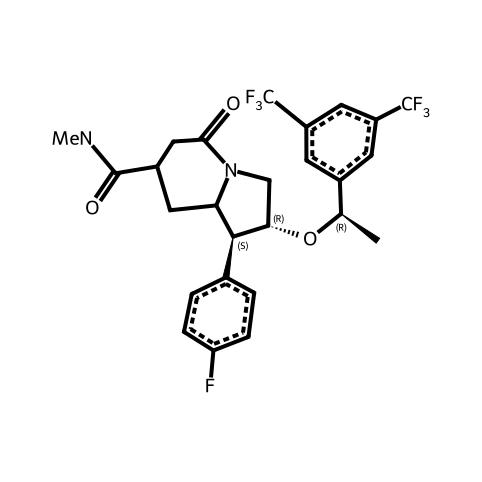 CNC(=O)C1CC(=O)N2C[C@H](O[C@H](C)c3cc(C(F)(F)F)cc(C(F)(F)F)c3)[C@@H](c3ccc(F)cc3)C2C1